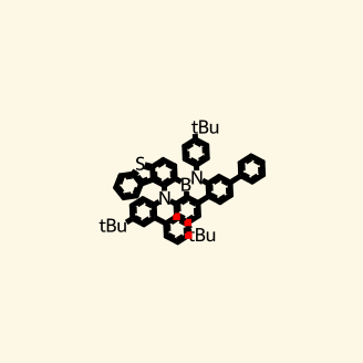 CC(C)(C)c1ccc(N2B3c4ccc5sc6ccccc6c5c4N(c4ccc(C(C)(C)C)cc4-c4ccccc4)c4cc(C(C)(C)C)cc(c43)-c3ccc(-c4ccccc4)cc32)cc1